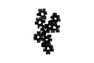 c1ccc(-c2cccc(-c3cc(-n4c5ccccc5c5c6oc7ccccc7c6ccc54)cc(-c4cccc5c4oc4ccccc45)n3)c2)cc1